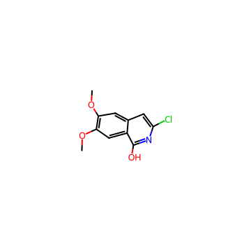 COc1cc2cc(Cl)nc(O)c2cc1OC